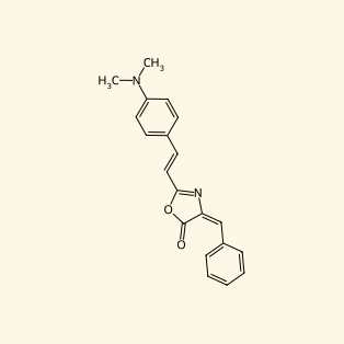 CN(C)c1ccc(C=CC2=NC(=Cc3ccccc3)C(=O)O2)cc1